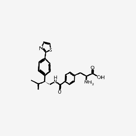 CC(C)[C@@H](CNC(=O)c1ccc(CC(N)C(=O)O)cc1)c1ccc(-c2nccs2)cc1